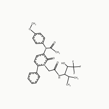 COc1ccc(N(C(C)=O)c2ccc(-c3ccccc3)n(CC(=O)NC(C(C)C)C(O)C(F)(F)F)c2=O)cc1